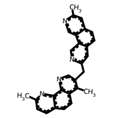 Cc1cc2ccc3cc(Cc4cnc5c(ccc6ccc(C)nc65)c4C)ncc3c2cn1